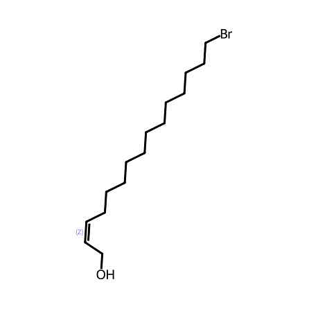 OC/C=C\CCCCCCCCCCCCBr